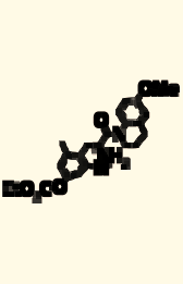 CCOC(=O)Oc1cc(C)c(C[C@H](N)C(=O)N2CCCc3cc(OC)ccc32)c(Br)c1